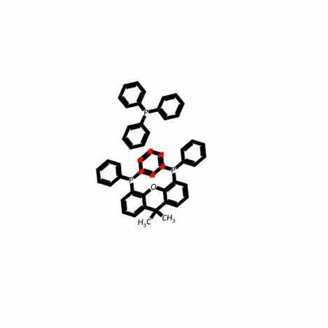 CC1(C)c2cccc(P(c3ccccc3)c3ccccc3)c2Oc2c(P(c3ccccc3)c3ccccc3)cccc21.c1ccc(P(c2ccccc2)c2ccccc2)cc1